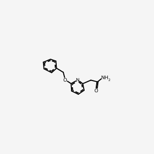 NC(=O)Cc1cccc(OCc2ccccc2)n1